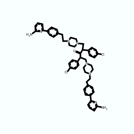 Nc1cccc(-c2ccc(CCN3CCN(CC(C(=O)C(CN4CCN(CCc5ccc(-c6cccc(N)n6)cc5)CC4)c4ccc(Cl)cc4)c4ccc(Cl)cc4)CC3)cc2)n1